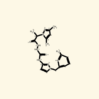 Cc1cccc(Cn2ccc(NC(=S)NNC(=O)C(C)n3nc(C)cc3C)n2)n1